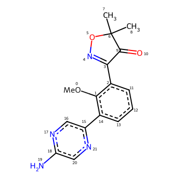 COc1c(C2=NOC(C)(C)C2=O)cccc1-c1cnc(N)cn1